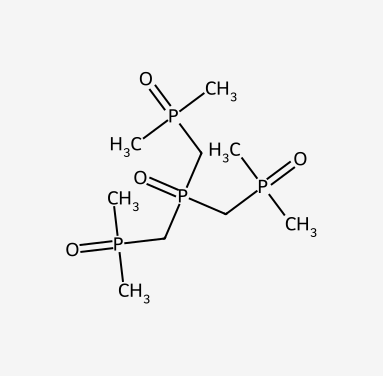 CP(C)(=O)CP(=O)(CP(C)(C)=O)CP(C)(C)=O